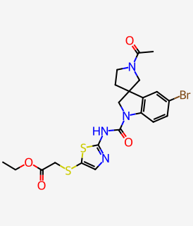 CCOC(=O)CSc1cnc(NC(=O)N2CC3(CCN(C(C)=O)C3)c3cc(Br)ccc32)s1